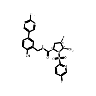 C[C@@H]1[C@H](F)C[C@H](C(=O)NCc2cc(-c3cnc(C(F)(F)F)nc3)ccc2C#N)N1S(=O)(=O)c1ccc(F)cn1